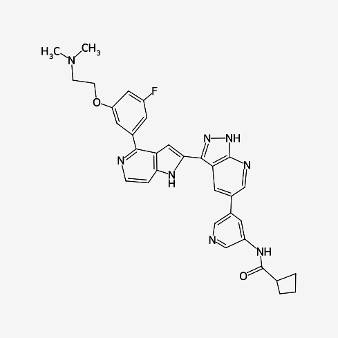 CN(C)CCOc1cc(F)cc(-c2nccc3[nH]c(-c4n[nH]c5ncc(-c6cncc(NC(=O)C7CCC7)c6)cc45)cc23)c1